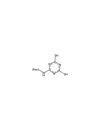 CCCC(C)Nc1nc(S)nc(S)n1